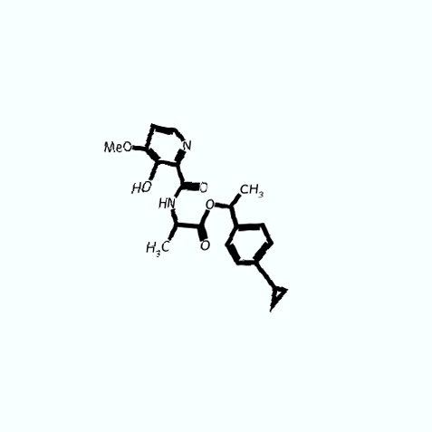 COc1ccnc(C(=O)NC(C)C(=O)OC(C)c2ccc(C3CC3)cc2)c1O